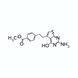 COC(=O)c1ccc(CCc2csc3nc(N)nc(O)c23)cc1